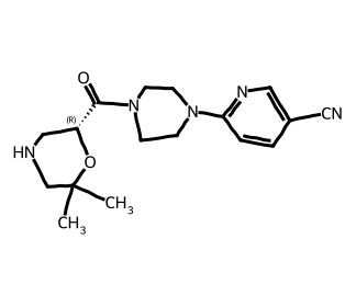 CC1(C)CNC[C@H](C(=O)N2CCN(c3ccc(C#N)cn3)CC2)O1